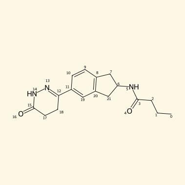 CCCC(=O)NC1Cc2ccc(C3=NNC(=O)CC3)cc2C1